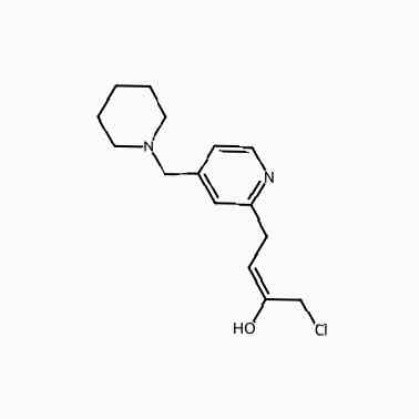 O/C(=C/Cc1cc(CN2CCCCC2)ccn1)CCl